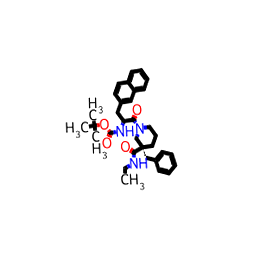 CCNC(=O)[C@]1(Cc2ccccc2)CCCN(C(=O)C(Cc2ccc3ccccc3c2)NC(=O)OC(C)(C)C)C1